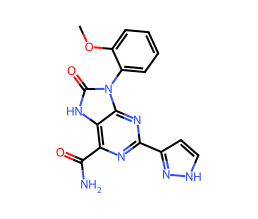 COc1ccccc1-n1c(=O)[nH]c2c(C(N)=O)nc(-c3cc[nH]n3)nc21